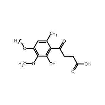 COc1cc(C)c(C(=O)CCC(=O)O)c(O)c1OC